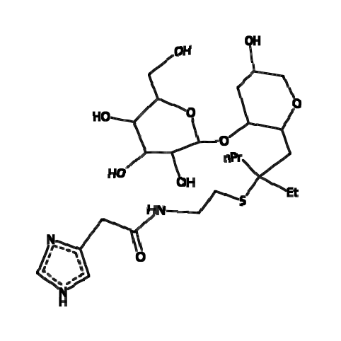 CCCC(CC)(CC1OCC(O)CC1OC1OC(CO)C(O)C(O)C1O)SCCNC(=O)Cc1c[nH]cn1